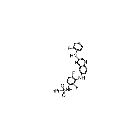 CCCS(=O)(=O)Nc1ccc(F)c(Nc2ccc3ncc(Nc4ccccc4F)nc3c2)c1F